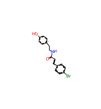 O=C(C=Cc1ccc(Br)cc1)NCCc1ccc(O)cc1